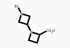 CCN1CC(N2CCC2C(=O)O)C1